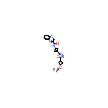 O=C(NC12CC(c3nnc(C4CC(OC(F)(F)F)C4)o3)(C1)C2)c1cnc2ccccc2n1